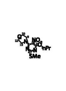 CCCOc1nc(SC)nc(N2CCOCC2)c1[N+](=O)[O-]